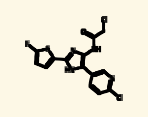 O=C(CCl)Nc1nc(-c2ccc(F)s2)[nH]c1-c1ccc(Cl)nc1